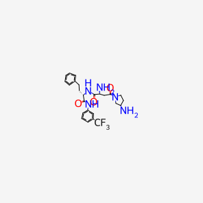 N[C@@H]1CCN(C(=O)C[C@H](N)C(=O)N[C@@H](CCc2ccccc2)C(=O)Nc2cccc(C(F)(F)F)c2)C1